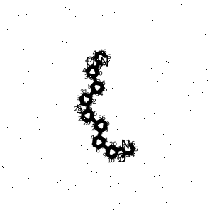 c1cc(-c2cccc(-c3ccc4oc5cccnc5c4c3)c2)cc(-c2ccc3sc4ccc(-c5cccc(-c6ccc7oc8cccnc8c7c6)c5)cc4c3c2)c1